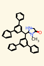 CN1C(=O)CNC1C(c1cc(-c2ccccc2)cc(-c2ccccc2)c1)c1cc(-c2ccccc2)cc(-c2ccccc2)c1